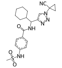 CS(=O)(=O)Nc1ccc(C(=O)NC(c2cn(C3(C#N)CC3)nn2)C2CCCCC2)cc1